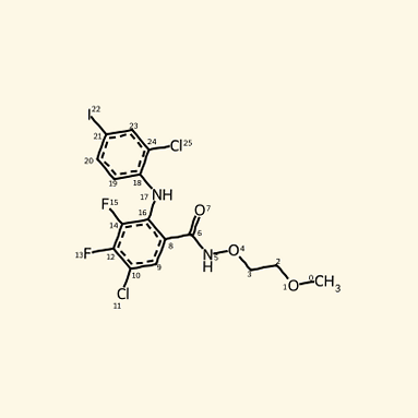 COCCONC(=O)c1cc(Cl)c(F)c(F)c1Nc1ccc(I)cc1Cl